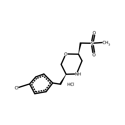 CS(=O)(=O)C[C@H]1CN[C@@H](Cc2ccc(Cl)cc2)CO1.Cl